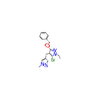 CCn1nc(OCc2ccccc2)c(Cc2cnn(C)c2)c1Br